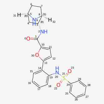 O=C(N[C@@H]1C[C@H]2CC[C@@H]1N2)c1ccc(-c2ccccc2NS(=O)(=O)c2ccccc2)o1